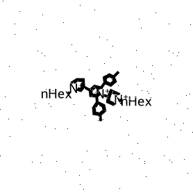 CCCCCC[n+]1ccc(-[n+]2c(-c3ccc(C)cc3)cc(-c3ccc[n+](CCCCCC)c3)cc2-c2ccc(C)cc2)cc1